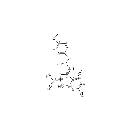 COc1ccc(CC(=O)N[C@@H]2C[C@@H](C(=O)O)Nc3cc(Cl)cc(Cl)c32)cc1